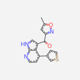 Cc1cc(C(=O)c2c[nH]c3nccc(-c4ccsc4)c23)no1